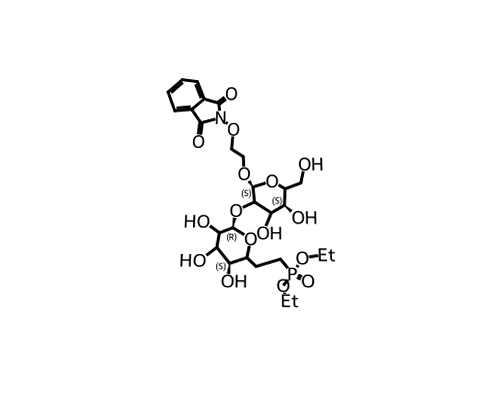 CCOP(=O)(CCC1O[C@H](OC2C(O)[C@H](O)C(CO)O[C@@H]2OCCON2C(=O)c3ccccc3C2=O)C(O)C(O)[C@@H]1O)OCC